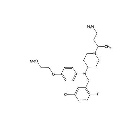 COCCOc1ccc(N(Cc2cc(Cl)ccc2F)C2CCN(C(C)CCN)CC2)cc1